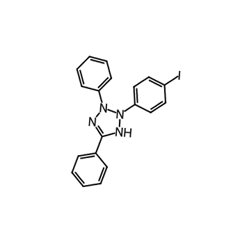 Ic1ccc(N2NC(c3ccccc3)=NN2c2ccccc2)cc1